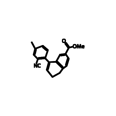 [C-]#[N+]c1cc(C)ccc1C1=CCCc2ccc(C(=O)OC)cc21